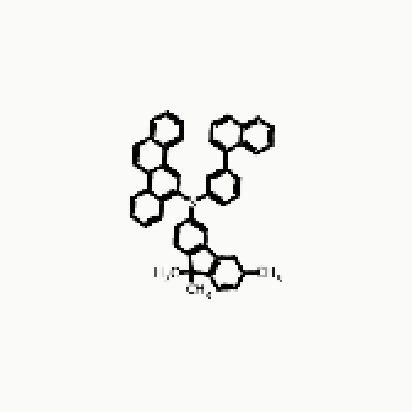 CC1C=CC2=C(C1)c1cc(N(c3cccc(-c4cccc5ccccc45)c3)c3cc4c5ccccc5ccc4c4ccccc34)ccc1C2(C)C